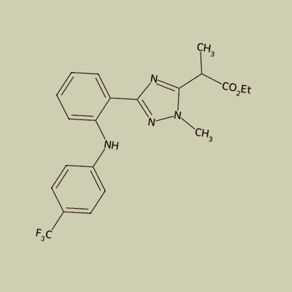 CCOC(=O)C(C)c1nc(-c2ccccc2Nc2ccc(C(F)(F)F)cc2)nn1C